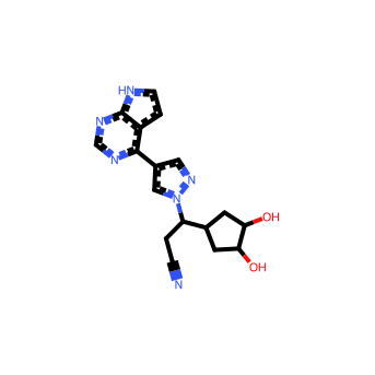 N#CCC(C1CC(O)C(O)C1)n1cc(-c2ncnc3[nH]ccc23)cn1